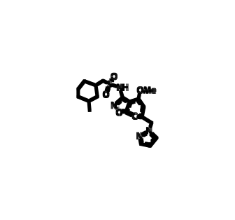 COc1cc(Cn2cccn2)cc2onc(NS(=O)(=O)CC3CCCC(C)C3)c12